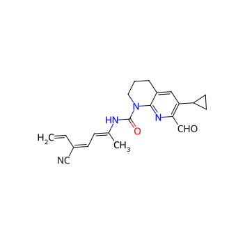 C=C/C(C#N)=C\C=C(/C)NC(=O)N1CCCc2cc(C3CC3)c(C=O)nc21